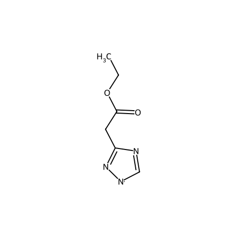 CCOC(=O)CC1=N[N]C=N1